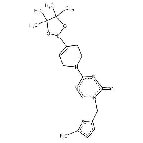 CC1(C)OB(C2=CCN(c3ncn(Cc4ccc(C(F)(F)F)s4)c(=O)n3)CC2)OC1(C)C